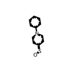 O=S=c1ccn(-c2ccccc2)cc1